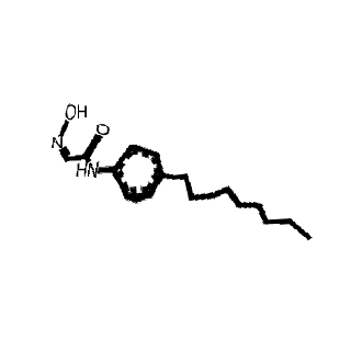 CCCCCCCCc1ccc(NC(=O)/C=N\O)cc1